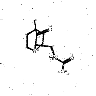 CC12CCN(CC1)C(CNC(=O)C(F)(F)F)C2=O